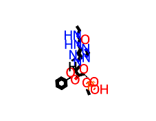 CCNC(=O)Nc1ncnc2c1ncn2[C@@H]1O[C@H](COP(=O)(O)CC)C2O[C@@H](c3ccccc3)O[C@@H]21